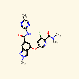 Cc1cnc(NC(=O)c2cc(Oc3cnc(C(=O)N(C)C)c(F)c3)c3cn(C)nc3c2)cn1